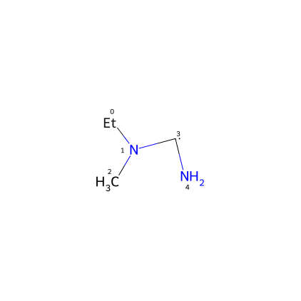 CCN(C)[CH]N